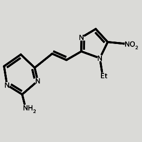 CCn1c([N+](=O)[O-])cnc1C=Cc1ccnc(N)n1